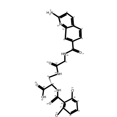 Nc1ccc2ccc(C(=O)NCC(=O)NC[C@H](NC(=O)c3c(Cl)cccc3Cl)C(=O)O)cc2n1